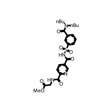 CCCCN(CCCC)C(=O)c1cccc(S(=O)(=O)NC(=O)c2ccc(C(=O)NCC(=O)OC)nc2)c1